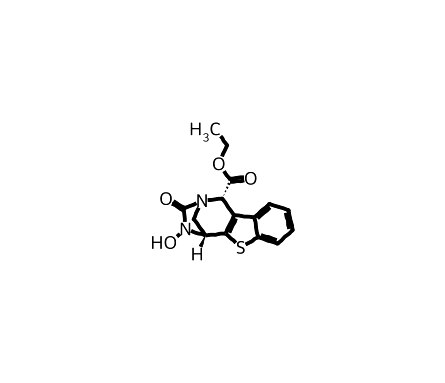 CCOC(=O)[C@@H]1c2c(sc3ccccc23)[C@H]2CN1C(=O)N2O